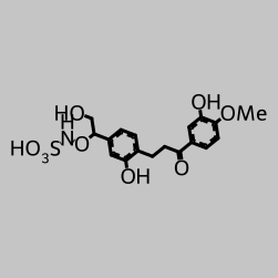 COc1ccc(C(=O)CCc2ccc(C(CO)ONS(=O)(=O)O)cc2O)cc1O